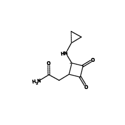 NC(=O)CC1[C](NC2CC2)C(=O)C1=O